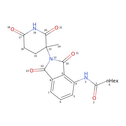 CCCCCCC(=O)Nc1cccc2c1C(=O)N(C1(C)CCC(=O)NC1=O)C2=O